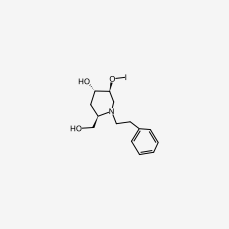 OC[C@H]1C[C@H](O)[C@@H](OI)CN1CCc1ccccc1